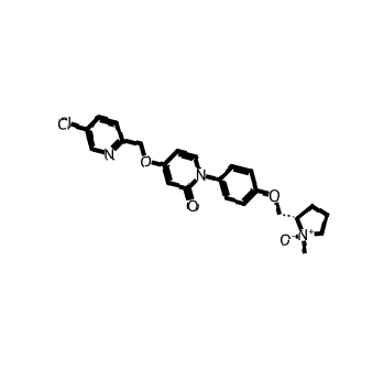 C[N+]1([O-])CCC[C@H]1COc1ccc(-n2ccc(OCc3ccc(Cl)cn3)cc2=O)cc1